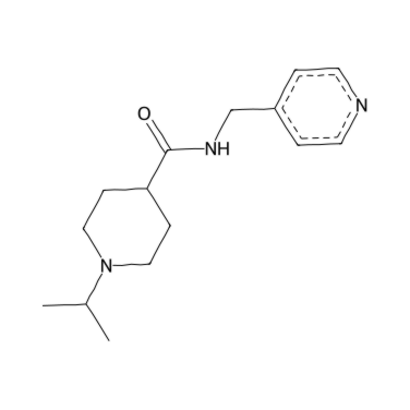 CC(C)N1CCC(C(=O)NCc2ccncc2)CC1